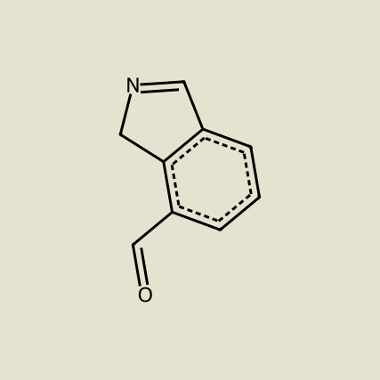 O=Cc1cccc2c1CN=C2